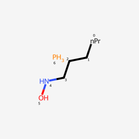 CCCCCCNO.P